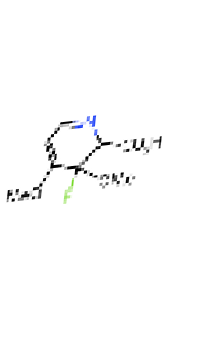 COC1=CC=NC(C(=O)O)C1(F)OC